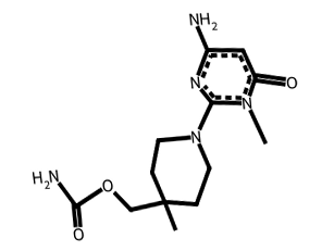 Cn1c(N2CCC(C)(COC(N)=O)CC2)nc(N)cc1=O